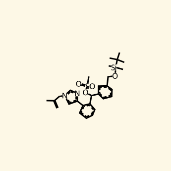 C=C(C)Cn1cnc(-c2ccccc2C(OS(C)(=O)=O)c2cccc(CO[Si](C)(C)C(C)(C)C)c2)c1